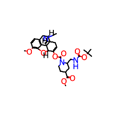 COC(=O)C1CCN(C(=O)OC2=CC[C@H]3[C@H]4Cc5ccc(OC)c6c5[C@@]3(CCN4C)[C@H]2O6)C(CNC(=O)OC(C)(C)C)C1